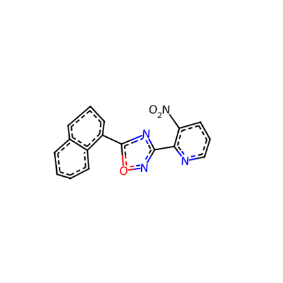 O=[N+]([O-])c1cccnc1-c1noc(-c2cccc3ccccc23)n1